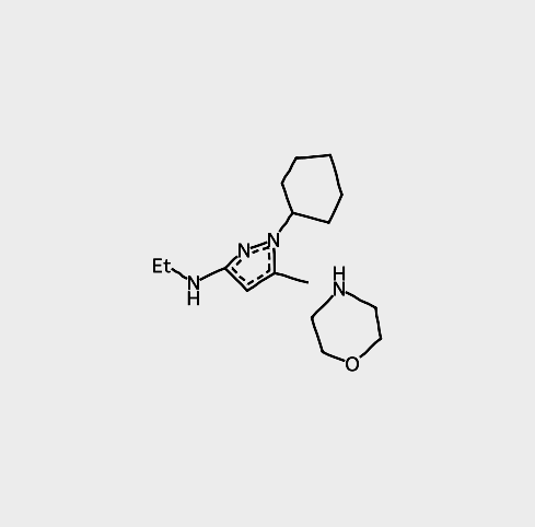 C1COCCN1.CCNc1cc(C)n(C2CCCCC2)n1